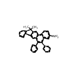 CC1(C)c2ccccc2-c2cc3c(-c4ccccc4)c(-c4ccccc4)c4cc(N)ccc4c3cc21